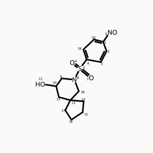 O=Nc1ccc(S(=O)(=O)N2CC(O)CC3(CCCC3)C2)cc1